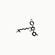 CC(C)(F)CCCCCCOc1c(N2CCNCC2)cnn(-c2cccc(F)c2)c1=O